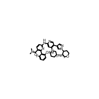 COc1cccc(F)c1-c1nc(Nc2cc(N3CCC[C@H](N)C3)c(-c3cnn(C4CCOCC4)c3)cn2)ccc1C(=O)N(C)C